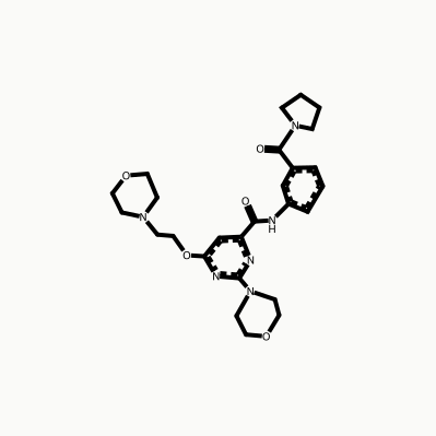 O=C(Nc1cccc(C(=O)N2CCCC2)c1)c1cc(OCCN2CCOCC2)nc(N2CCOCC2)n1